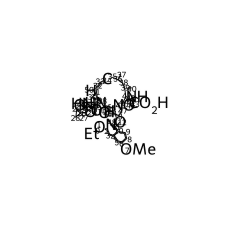 CCOc1cc2cc(OC)ccc2c(O[C@@H]2C[C@H]3C(=O)N[C@]4(C(=O)NS(=O)(=O)C5(C)CC5)C[C@H]4/C=C\CC[C@@H](C)C[C@@H](C)[C@H](NC(=O)O)C(=O)N3C2)n1